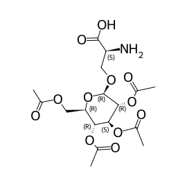 CC(=O)OC[C@H]1O[C@@H](OC[C@H](N)C(=O)O)[C@H](OC(C)=O)[C@@H](OC(C)=O)[C@@H]1OC(C)=O